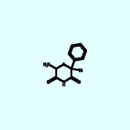 CCC1(c2ccccc2)SC(C)C(=O)NC1=O